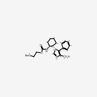 COCCOC(=O)N[C@H]1CCCC[C@@H]1n1cnc(C(=O)O)c1-c1ccccc1